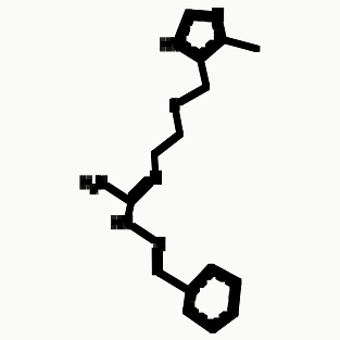 Cc1nc[nH]c1CSCCN=C(N)NN=Cc1ccccc1